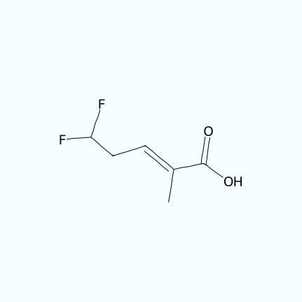 C/C(=C\CC(F)F)C(=O)O